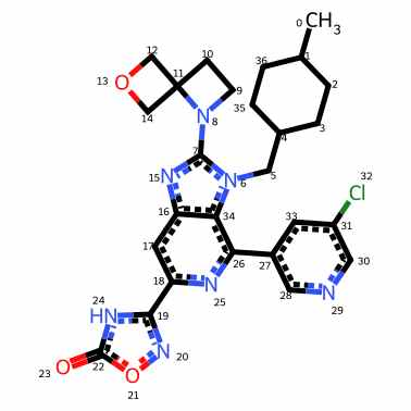 CC1CCC(Cn2c(N3CCC34COC4)nc3cc(-c4noc(=O)[nH]4)nc(-c4cncc(Cl)c4)c32)CC1